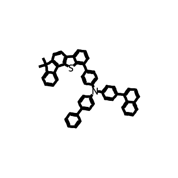 CC1(C)c2ccccc2-c2c1ccc1c2sc2c(-c3ccc(N(c4ccc(-c5ccccc5)cc4)c4ccc(-c5cccc6ccccc56)cc4)cc3)cccc21